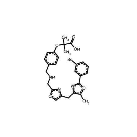 Cc1oc(-c2cccc(Br)c2)nc1Cc1coc(CNCc2ccc(OC(C)(C)C(=O)O)cc2)n1